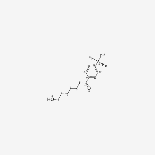 O=C(CCCCCCO)c1ccc(C(F)(F)F)cc1